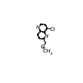 COCc1ccc2nccc(Cl)c2n1